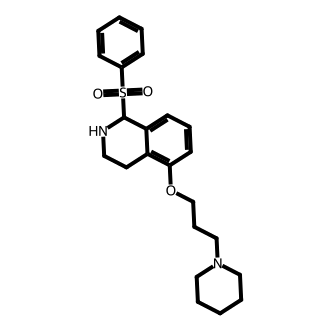 O=S(=O)(c1ccccc1)C1NCCc2c(OCCCN3CCCCC3)cccc21